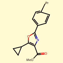 COC(=O)c1nc(-c2ccc(C(C)C)cc2)oc1C1CC1